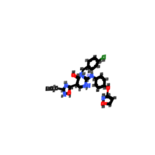 CCOC(=O)c1noc(-c2c[nH]/c(=N\c3ccc(Oc4ccon4)cc3)n(Cc3ccc(Cl)cc3)c2=O)n1